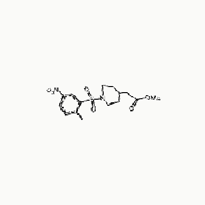 COC(=O)CC1CCN(S(=O)(=O)c2cc([N+](=O)[O-])ccc2C)CC1